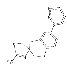 CC1=NC2(CCc3ccc(-c4cccnn4)cc3C2)CO1